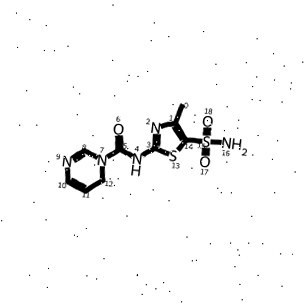 Cc1nc(NC(=O)N2C=NC=CC2)sc1S(N)(=O)=O